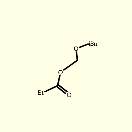 CCC(=O)OCOC(C)CC